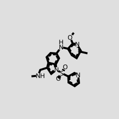 CNCc1cn(S(=O)(=O)c2cccnc2)c2cc(Nc3ccc(C)nc3OC)ccc12